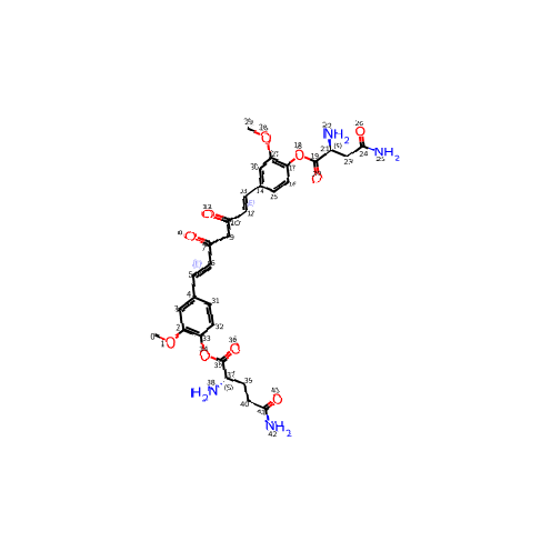 COc1cc(/C=C/C(=O)CC(=O)/C=C/c2ccc(OC(=O)[C@@H](N)CC(N)=O)c(OC)c2)ccc1OC(=O)[C@@H](N)CCC(N)=O